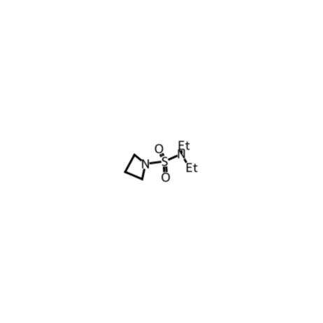 CCN(CC)S(=O)(=O)N1CCC1